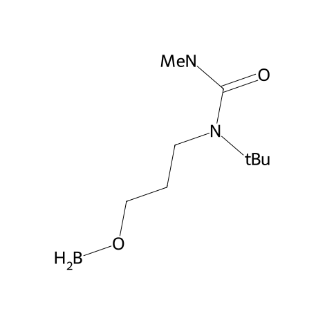 BOCCCN(C(=O)NC)C(C)(C)C